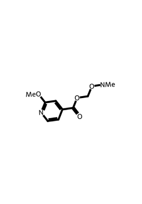 CNOCOC(=O)c1ccnc(OC)c1